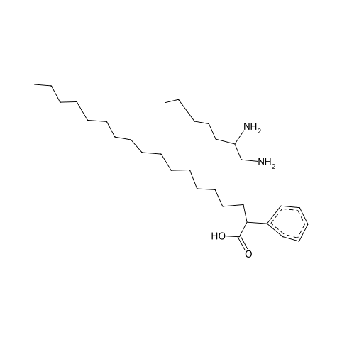 CCCCCC(N)CN.CCCCCCCCCCCCCCCCC(C(=O)O)c1ccccc1